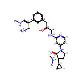 CN/C=C(\CN)c1cccc(CC(=O)CNc2cc(N3CC[C@](C4CC4)(N(C)C)C3=O)ccn2)c1